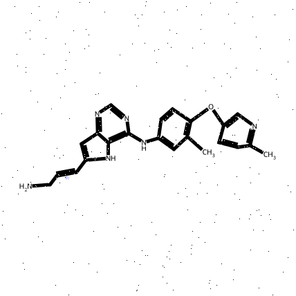 Cc1ccc(Oc2ccc(Nc3ncnc4cc(/C=C/CN)[nH]c34)cc2C)cn1